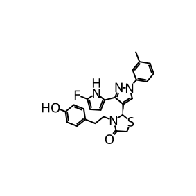 Cc1cccc(-n2cc([C@H]3SCC(=O)N3CCc3ccc(O)cc3)c(-c3ccc(F)[nH]3)n2)c1